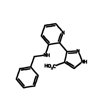 O=C(O)c1c[nH]nc1-c1ncccc1NCc1ccccc1